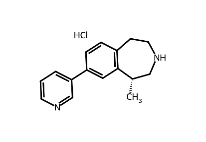 C[C@H]1CNCCc2ccc(-c3cccnc3)cc21.Cl